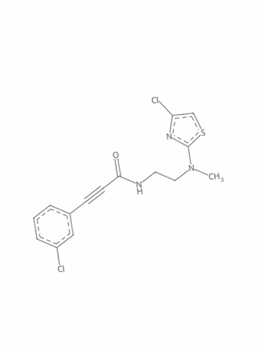 CN(CCNC(=O)C#Cc1cccc(Cl)c1)c1nc(Cl)cs1